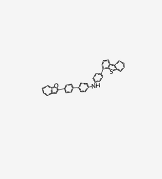 c1ccc2oc(-c3ccc(-c4ccc(Nc5ccc(-c6cccc7c6sc6ccccc67)cc5)cc4)cc3)cc2c1